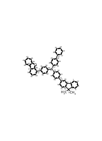 CC1(C)c2ccccc2-c2cc(-c3ccc(N(c4ccc(-c5ccccc5)cc4)c4ccc(-c5cccc6c5oc5ccccc56)cc4)cc3)ccc21